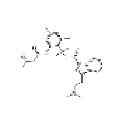 CC(=O)CC(=O)Oc1cc(C)cc(C)c1C(C)(C)CC(=O)n1cc(CCN(C)C)c2ccccc21